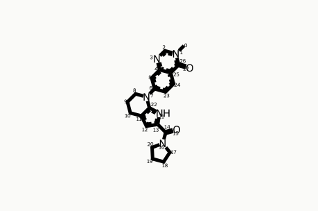 Cn1cnc2cc(N3CCCc4cc(C(=O)N5CCCC5)[nH]c43)ccc2c1=O